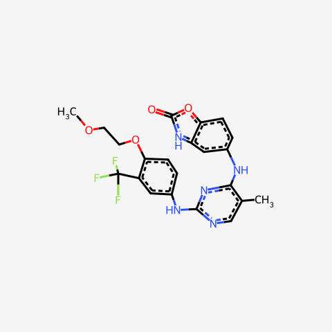 COCCOc1ccc(Nc2ncc(C)c(Nc3ccc4oc(=O)[nH]c4c3)n2)cc1C(F)(F)F